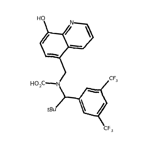 CC(C)(C)C(c1cc(C(F)(F)F)cc(C(F)(F)F)c1)N(Cc1ccc(O)c2ncccc12)C(=O)O